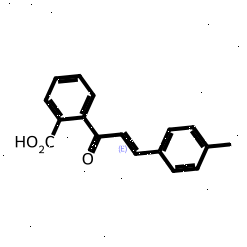 Cc1ccc(/C=C/C(=O)c2ccccc2C(=O)O)cc1